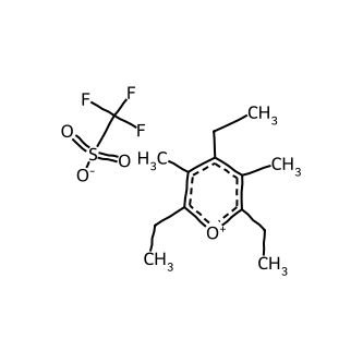 CCc1[o+]c(CC)c(C)c(CC)c1C.O=S(=O)([O-])C(F)(F)F